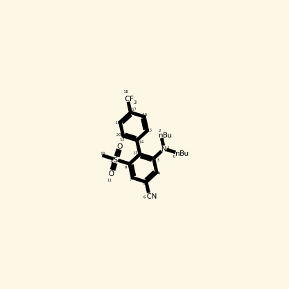 CCCCN(CCCC)c1cc(C#N)cc(S(C)(=O)=O)c1-c1ccc(C(F)(F)F)cc1